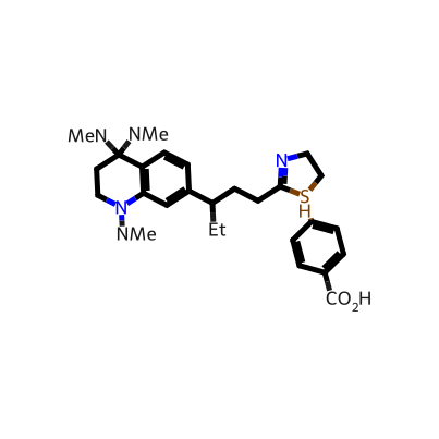 CCC(CCC1=NCC[SH]1c1ccc(C(=O)O)cc1)c1ccc2c(c1)N(NC)CCC2(NC)NC